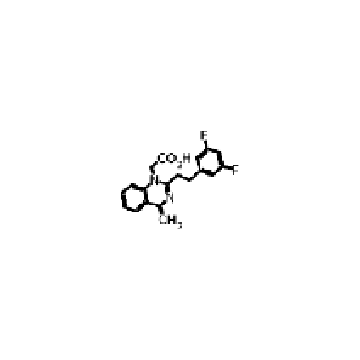 C=C1N=C(CCc2cc(F)cc(F)c2)N(CC(=O)O)c2ccccc21